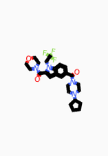 O=C(c1ccc2c(c1)cc(C(=O)N1CCOCC1)n2CC(F)(F)F)N1CCN(C2CCCC2)CC1